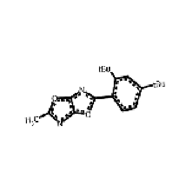 Cc1nc2oc(-c3ccc(C(C)(C)C)cc3C(C)(C)C)nc2o1